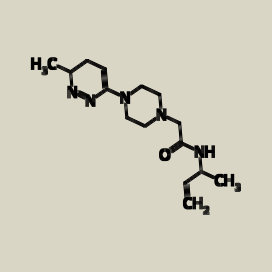 C=CC(C)NC(=O)CN1CCN(C2=CCC(C)N=N2)CC1